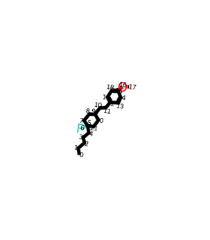 CCCCCC1(F)CCC(CCc2ccc(OC)cc2)CC1